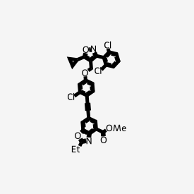 CCc1nc2c(C(=O)OC)cc(C#Cc3ccc(OCc4c(-c5c(Cl)cccc5Cl)noc4C4CC4)cc3Cl)cc2o1